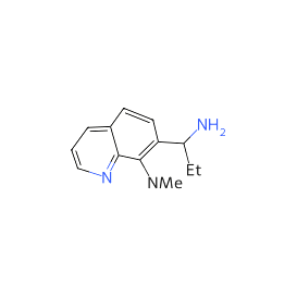 CCC(N)c1ccc2cccnc2c1NC